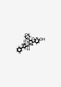 Oc1ccc2c(n1)oc1c(N3CCOCC3)nc(Nc3cc(-c4ccccc4)n[nH]3)nc12